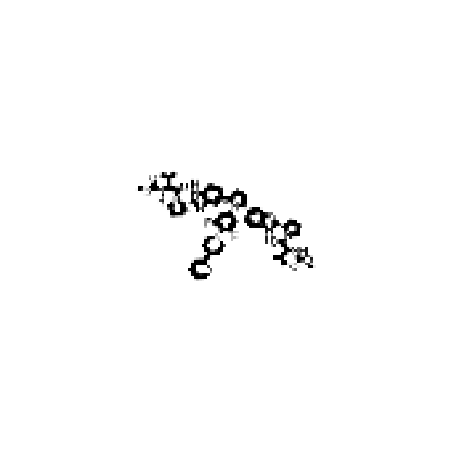 COC(=O)NC(C(=O)N1CCC[C@H]1c1nc2cc([C@H]3CC[C@H](c4ccc5[nH]c([C@@H]6CCCN6C(=O)[C@@H](NC(=O)OC)C(C)C)nc5c4)N3c3cc(F)c(N4CCC(c5ccccn5)CC4)c(F)c3)ccc2[nH]1)C(C)C